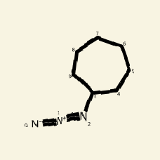 [N-]=[N+]=N[C]1CCCCCC1